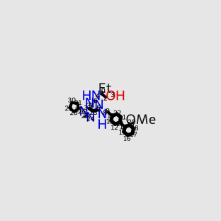 CCC(CO)Nc1nc(NCc2ccc(-c3ccccc3OC)cc2)c2ncn(C3CCCC3)c2n1